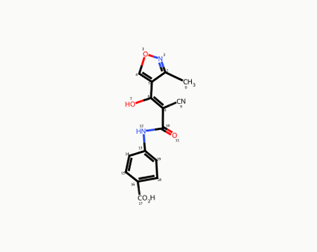 Cc1nocc1C(O)=C(C#N)C(=O)Nc1ccc(C(=O)O)cc1